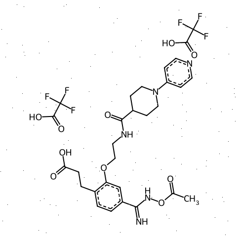 CC(=O)ONC(=N)c1ccc(CCC(=O)O)c(OCCNC(=O)C2CCN(c3ccncc3)CC2)c1.O=C(O)C(F)(F)F.O=C(O)C(F)(F)F